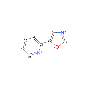 [c]1ccc(-c2cnco2)nc1